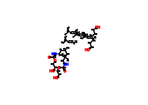 C=C(C)C(=O)O.C=C(C)C(=O)O.C=C(C)C(=O)O.C=C(C)C(=O)O.CC(CCNC(=O)OCCO)CC(C)(C)CNC(=O)OCCO.OCCCCCCO